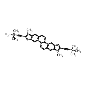 Cn1c(C#C[Si](C)(C)C)cc2cc3c(ccc4c5cc6cc(C#C[Si](C)(C)C)n(C)c6cc5ccc34)cc21